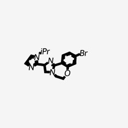 CC(C)n1ccnc1C1CN2CCOc3cc(Br)ccc3C2=N1